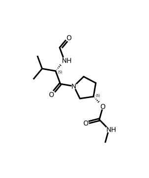 CNC(=O)O[C@H]1CCN(C(=O)[C@@H](NC=O)C(C)C)C1